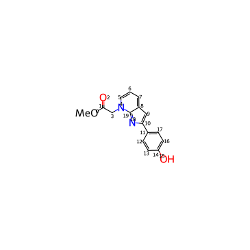 COC(=O)Cn1cccc2cc(-c3ccc(O)cc3)nc1-2